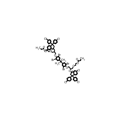 C=CC(=O)OCCOCC(COc1c(Br)cc(C(C)(C)c2cc(Br)c(OCC(COCCOC(=O)C=C)OC(=O)CC(c3ccc(Cl)cc3)(c3ccc(Cl)cc3)c3ccc(Cl)cc3)c(Br)c2)cc1Br)CC(=O)CC(c1ccc(Cl)cc1)(c1ccc(Cl)cc1)c1ccc(Cl)cc1